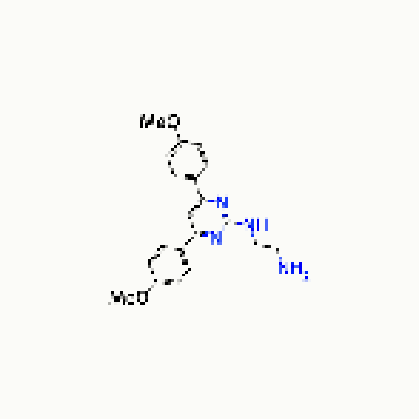 COc1ccc(-c2cc(-c3ccc(OC)cc3)nc(NCCN)n2)cc1